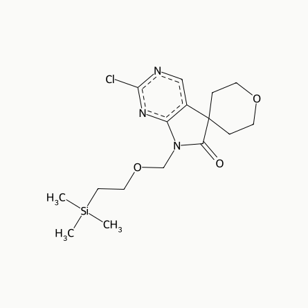 C[Si](C)(C)CCOCN1C(=O)C2(CCOCC2)c2cnc(Cl)nc21